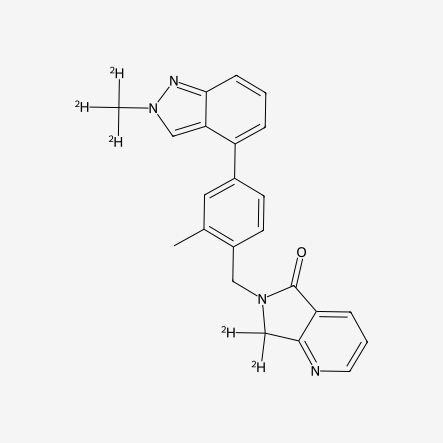 [2H]C1([2H])c2ncccc2C(=O)N1Cc1ccc(-c2cccc3nn(C([2H])([2H])[2H])cc23)cc1C